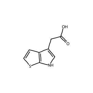 O=C(O)Cc1c[nH]c2sccc12